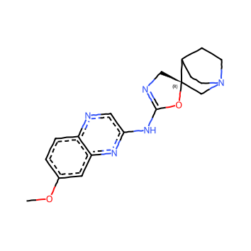 COc1ccc2ncc(NC3=NC[C@@]4(CN5CCC4CC5)O3)nc2c1